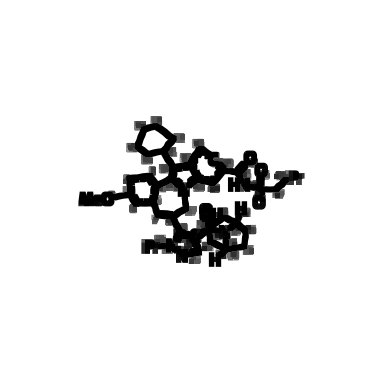 COc1ccc2c(c1)C=C(c1c(C(=O)N3[C@@H]4CC[C@H]3C[C@@](C)(O)C4)cnn1C(C)C)Cn1c-2c(C2CCCCC2)c2ccc(C(=O)NS(=O)(=O)CC(C)C)cc21